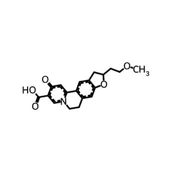 COCCC1Cc2cc3c(cc2O1)CCn1cc(C(=O)O)c(=O)cc1-3